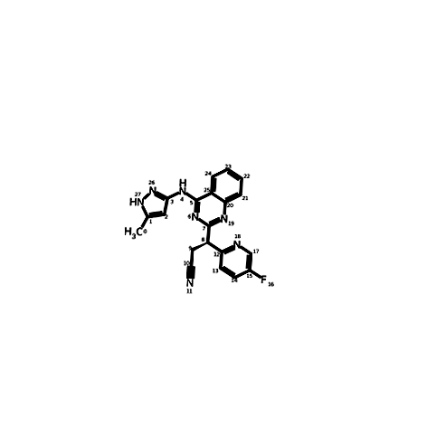 Cc1cc(Nc2nc([C@H](CC#N)c3ccc(F)cn3)nc3ccccc23)n[nH]1